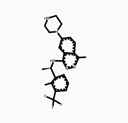 Cc1c([C@@H](C)Nc2nnc(C)c3ccc(N4CCNCC4)cc23)cccc1C(F)(F)F